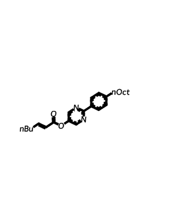 CCCCC=CC(=O)Oc1cnc(-c2ccc(CCCCCCCC)cc2)nc1